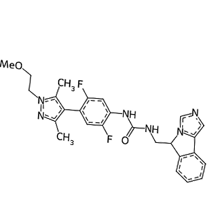 COCCn1nc(C)c(-c2cc(F)c(NC(=O)NCC3c4ccccc4-c4cncn43)cc2F)c1C